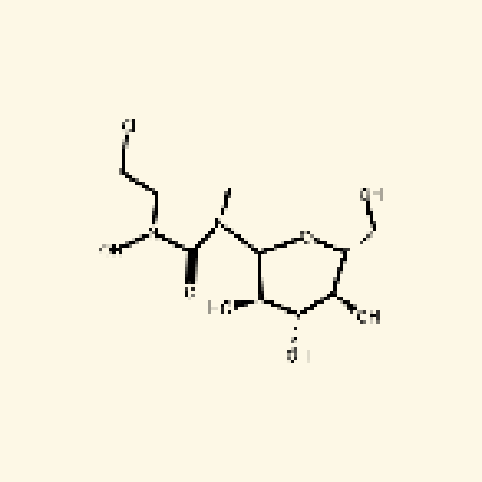 CN(C(=O)N(CCCl)N=O)C1O[C@H](CO)[C@@H](O)[C@H](O)[C@H]1O